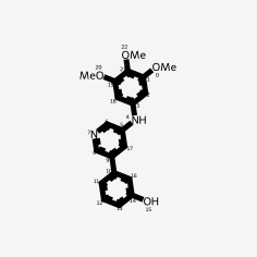 COc1cc(Nc2cncc(-c3cccc(O)c3)c2)cc(OC)c1OC